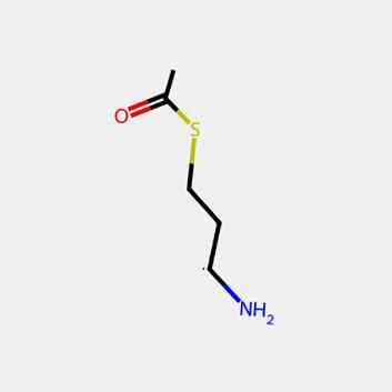 CC(=O)SCC[CH]N